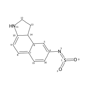 O=S(=O)=NC1=CC2C(=CC=C3NCCC32)C=C1